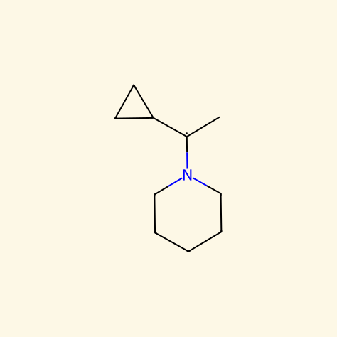 C[C](C1CC1)N1CCCCC1